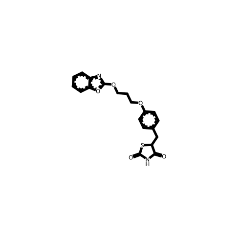 O=C1NC(=O)C(Cc2ccc(OCCCOc3nc4ccccc4o3)cc2)S1